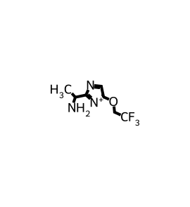 CC(N)C1=[N+]=C(OCC(F)(F)F)C=N1